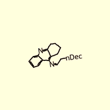 CCCCCCCCCCC/C=N\c1c2c(nc3ccccc13)CCCC2